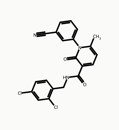 Cc1ccc(C(=O)NCc2ccc(Cl)cc2Cl)c(=O)n1-c1cccc(C#N)c1